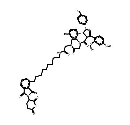 COc1ccc(C2=N[C@@H](c3ccc(Cl)cc3)[C@@H](c3ccc(Cl)cc3)N2C(=O)N2CCN(CC(=O)NCCCCCCCCCc3cccc4c3C(=O)N(C3CCC(=O)NC3=O)C4=O)C(=O)C2)c(OC(C)C)c1